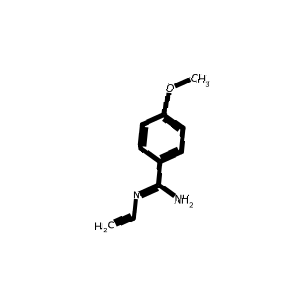 C=C/N=C(\N)c1ccc(OC)cc1